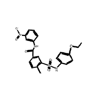 CCOc1ccc(NS(=O)(=O)c2cc(C(=O)Nc3cccc([N+](=O)[O-])c3)ccc2C)cc1